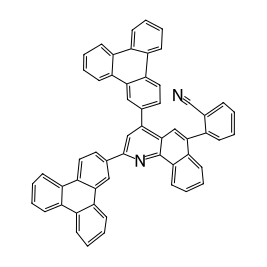 N#Cc1ccccc1-c1cc2c(-c3ccc4c5ccccc5c5ccccc5c4c3)cc(-c3ccc4c5ccccc5c5ccccc5c4c3)nc2c2ccccc12